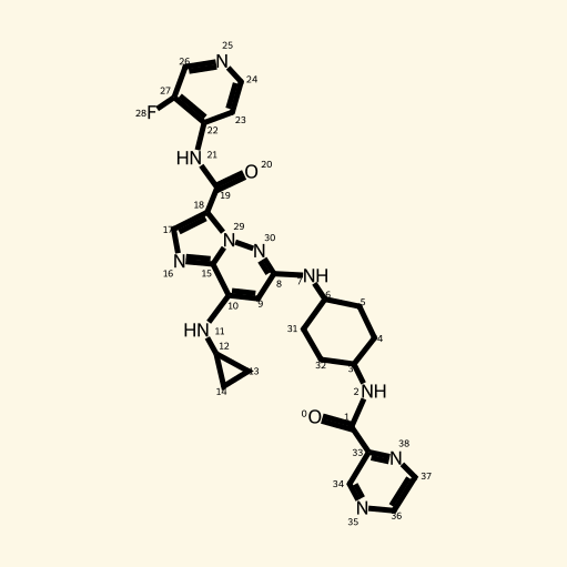 O=C(NC1CCC(Nc2cc(NC3CC3)c3ncc(C(=O)Nc4ccncc4F)n3n2)CC1)c1cnccn1